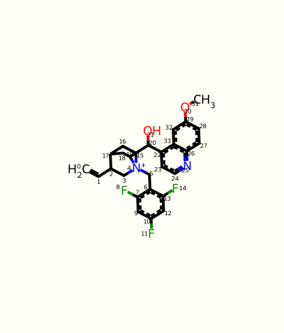 C=CC1C[N+]2(Cc3c(F)cc(F)cc3F)CCC1CC2C(O)c1ccnc2ccc(OC)cc12